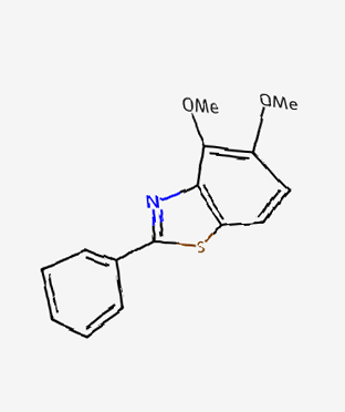 COc1ccc2sc(-c3ccccc3)nc2c1OC